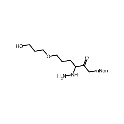 CCCCCCCCCCC(=O)C(CCCOCCCO)NN